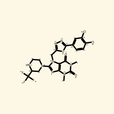 Cn1c(=O)c2c(nc(N3CCNC(C(F)(F)F)C3)n2Cc2nnc(-c3ccc(Cl)c(Cl)c3)o2)n(C)c1=O